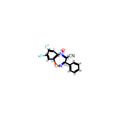 N#CC1=[N+]([O-])c2cc(F)c(F)cc2ON=C1c1ccccc1